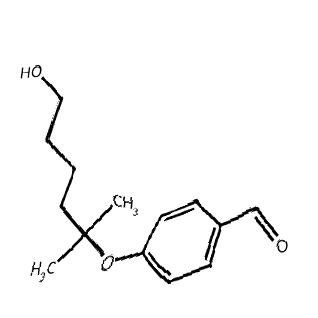 CC(C)(CCCCO)Oc1ccc(C=O)cc1